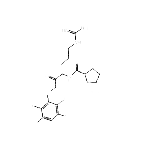 Cl.N=C(N)NCCC[C@H](NC(=O)C1CCCC1)C(=O)COc1c(F)c(F)cc(F)c1F